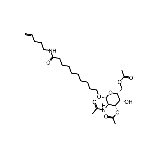 C=CCCCNC(=O)CCCCCCCCCO[C@@H]1O[C@H](COC(C)=O)[C@H](O)[C@H](OC(C)=O)[C@H]1NC(C)=O